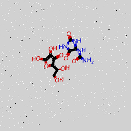 NC(=O)NC1NC(=O)NC1=O.O=C1C(O)=C(O)OC1[C@@H](O)CO